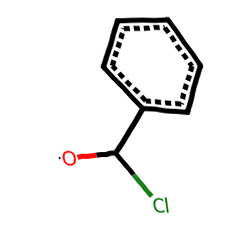 [O]C(Cl)c1ccccc1